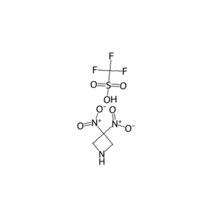 O=S(=O)(O)C(F)(F)F.O=[N+]([O-])C1([N+](=O)[O-])CNC1